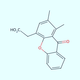 Cc1cc(CC(=O)O)c2oc3ccccc3c(=O)c2c1C